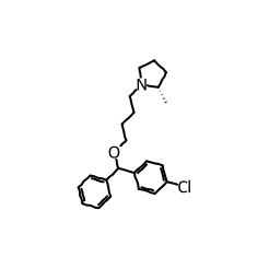 C[C@H]1CCCN1CCCCOC(c1ccccc1)c1ccc(Cl)cc1